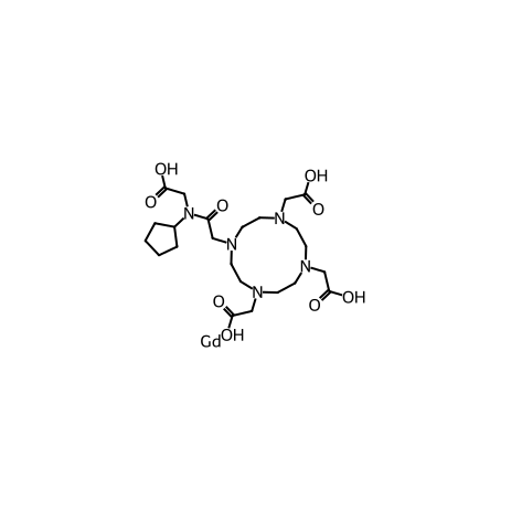 O=C(O)CN1CCN(CC(=O)O)CCN(CC(=O)N(CC(=O)O)C2CCCC2)CCN(CC(=O)O)CC1.[Gd]